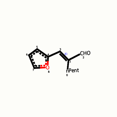 CCCCC/C(C=O)=C\c1ccco1